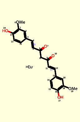 COc1cc(/C=C/C(=O)CC(=O)/C=C/c2ccc(O)c(OC)c2)ccc1O.[Eu]